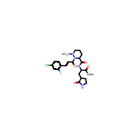 COC(=O)C(CC1CCNC1=O)NC(=O)C1CCCN(C(=O)O)N1C(=O)/C=C/c1ccc(Cl)cc1F